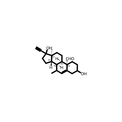 C#CC1(O)CC[C@H]2[C@@H]3C(C)C=C4CC(O)CC[C@]4(C=O)[C@@H]3CC[C@@]21C